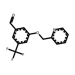 O=Cc1cc(OCc2ccccn2)cc(C(F)(F)F)c1